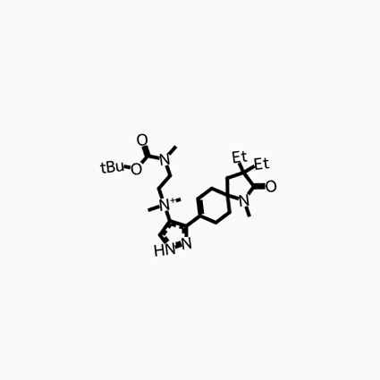 CCC1(CC)CC2(CC=C(c3n[nH]cc3[N+](C)(C)CCN(C)C(=O)OC(C)(C)C)CC2)N(C)C1=O